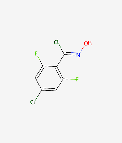 ON=C(Cl)c1c(F)cc(Cl)cc1F